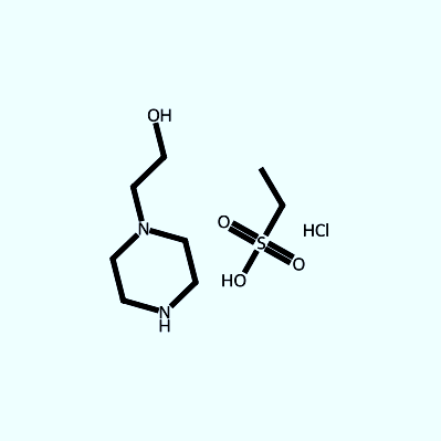 CCS(=O)(=O)O.Cl.OCCN1CCNCC1